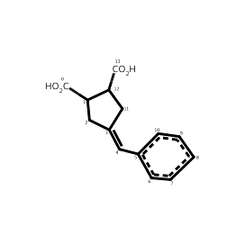 O=C(O)C1CC(=Cc2ccccc2)CC1C(=O)O